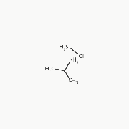 CC(C)N.[SiH3]Cl